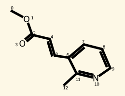 COC(=O)/C=C/c1cccnc1C